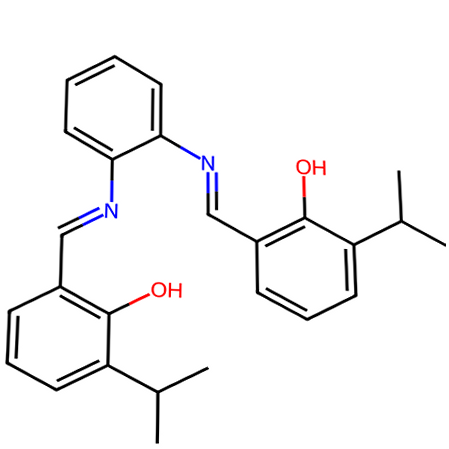 CC(C)c1cccc(C=Nc2ccccc2N=Cc2cccc(C(C)C)c2O)c1O